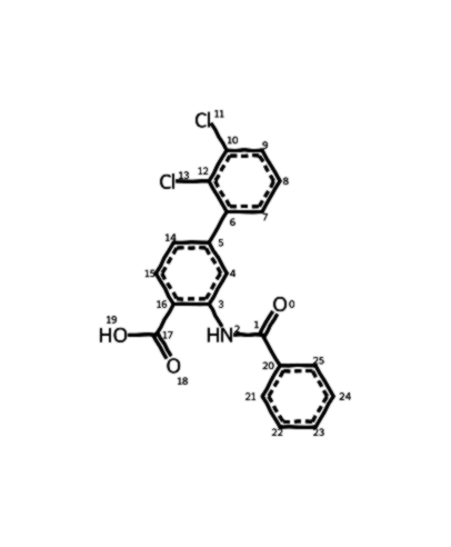 O=C(Nc1cc(-c2cccc(Cl)c2Cl)ccc1C(=O)O)c1ccccc1